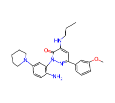 CCCNc1cc(-c2cccc(OC)c2)nn(-c2cc(N3CCCCC3)ccc2N)c1=O